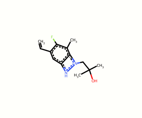 C=Cc1cc2[nH]n(CC(C)(C)O)c2c(C)c1F